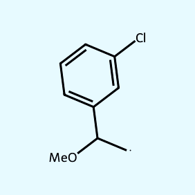 [CH2]C(OC)c1cccc(Cl)c1